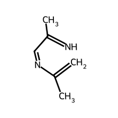 C=C(C)/N=C\C(C)=N